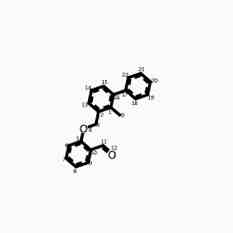 Cc1c(COc2ccccc2C=O)cccc1-c1ccccc1